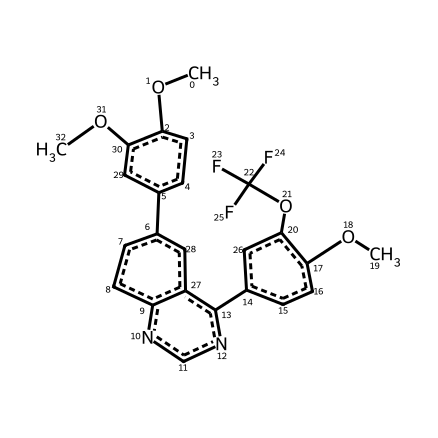 COc1ccc(-c2ccc3ncnc(-c4ccc(OC)c(OC(F)(F)F)c4)c3c2)cc1OC